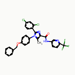 Cc1c(C(=O)Nc2ccc(C(F)(F)F)nc2)nc(-c2ccc(Cl)cc2Cl)n1-c1ccc(OCc2ccccc2)cc1